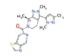 C[C@H]1c2nn(C)c(-c3cc(C(F)(F)F)nn3C)c2CCN1C(=O)c1cc2scnc2cn1